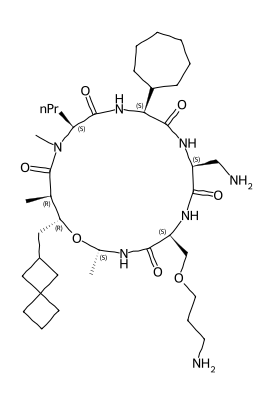 CCC[C@H]1C(=O)N[C@@H](C2CCCCCC2)C(=O)N[C@@H](CN)C(=O)N[C@@H](COCCCN)C(=O)N[C@H](C)O[C@H](CC2CC3(CCC3)C2)[C@@H](C)C(=O)N1C